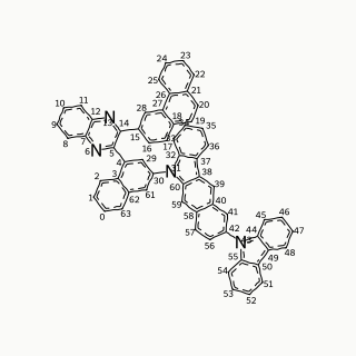 c1ccc2c(-c3nc4ccccc4nc3-c3ccc4ccc5ccccc5c4c3)cc(-n3c4ccccc4c4cc5cc(-n6c7ccccc7c7ccccc76)ccc5cc43)cc2c1